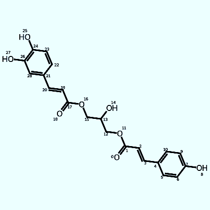 O=C(/C=C/c1ccc(O)cc1)OCC(O)COC(=O)/C=C/c1ccc(O)c(O)c1